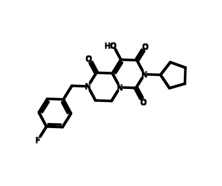 O=C1c2c(O)c(=O)n(C3CCCC3)c(=O)n2CCN1Cc1ccc(F)cc1